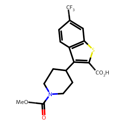 COC(=O)N1CCC(c2c(C(=O)O)sc3cc(C(F)(F)F)ccc23)CC1